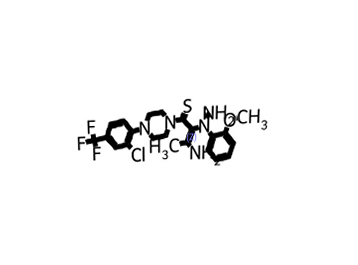 COc1ccccc1N(N)/C(C(=S)N1CCN(c2ccc(C(F)(F)F)cc2Cl)CC1)=C(/C)N